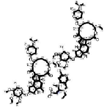 CCN(Cc1ccc(Cl)nc1)/C(=C/[N+](=O)[O-])NC.CC[C@H]1CCC[C@H](O[C@H]2CC[C@H](N(C)C)[C@@H](C)O2)[C@@H](C)C(=O)C2=C[C@@H]3[C@@H](C=C(C)[C@@H]4C[C@@H](O[C@@H]5O[C@@H](C)[C@H](OC)[C@@H](OC)[C@H]5OC)C[C@@H]34)[C@@H]2CC(=O)O1.CC[C@H]1CCC[C@H](O[C@H]2CC[C@H](N(C)C)[C@@H](C)O2)[C@@H](C)C(=O)C2=C[C@@H]3[C@@H](C=C[C@@H]4C[C@@H](O[C@@H]5O[C@@H](C)[C@H](OC)[C@@H](OC)[C@H]5OC)C[C@@H]34)[C@@H]2CC(=O)O1